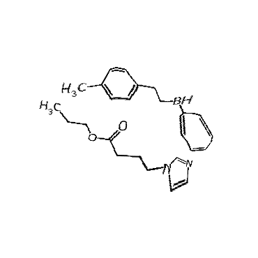 CCCOC(=O)CCCn1ccnc1.Cc1ccc(CCBc2ccccc2)cc1